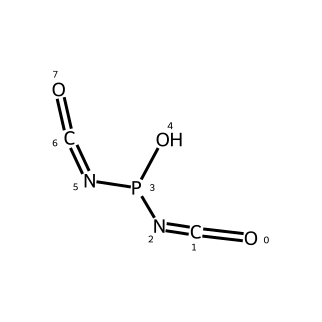 O=C=NP(O)N=C=O